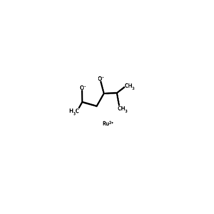 CC([O-])CC([O-])C(C)C.[Ru+2]